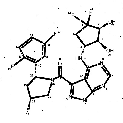 O=C(c1n[nH]c2ncnc(N[C@@H]3CC(F)(F)[C@@H](O)[C@H]3O)c12)N1C[C@@H](F)C[C@@H]1c1cc(F)ccc1F